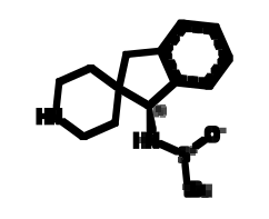 CC(C)(C)[S+]([O-])N[C@@H]1c2ccccc2CC12CCNCC2